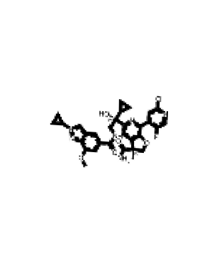 COc1cc(C(=O)NC[C@](O)(c2cc3c(c(-c4cc(Cl)ncc4F)n2)OC[C@]3(C)C(N)=O)C2CC2)cc2cn(C3CC3)nc12